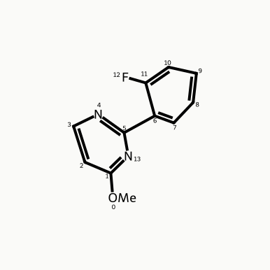 COc1ccnc(-c2ccccc2F)n1